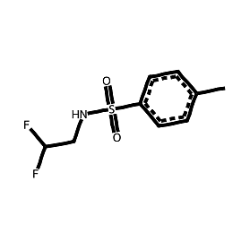 Cc1ccc(S(=O)(=O)NCC(F)F)cc1